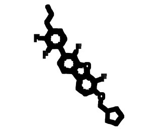 CCCc1ccc(-c2ccc3c(oc4c(F)c(OCC5CCCC5)ccc43)c2F)c(F)c1F